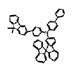 CC1(C)c2ccccc2-c2cc(-c3ccc(N(c4ccc(-c5ccccc5)cc4)c4ccc5c(c4)C4(c6ccccc6-c6ccccc64)c4ccccc4-5)cc3)ccc21